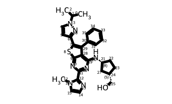 CC(C)n1ccc(-c2sc3nc(-c4nccn4C)nc(N[C@@H]4CC[C@H](CO)C4)c3c2-c2ccccc2)n1